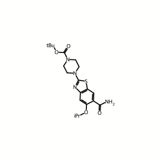 CC(C)Oc1cc2nc(N3CCN(C(=O)OC(C)(C)C)CC3)sc2cc1C(N)=O